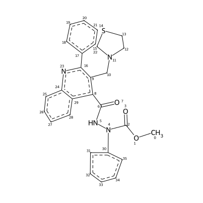 COC(=O)N(NC(=O)c1c(CN2CCSC2)c(-c2ccccc2)nc2ccccc12)c1ccccc1